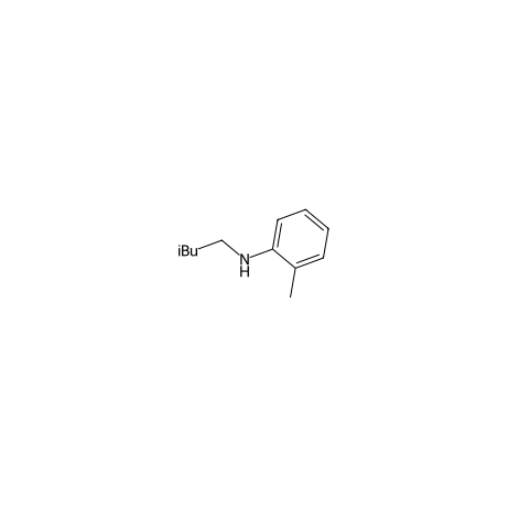 CCC(C)CNc1ccccc1C